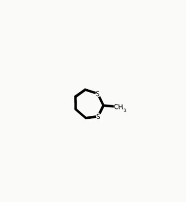 CC1SCCCCS1